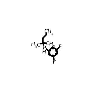 CCCC(C)(C)Pc1cc(F)cc(F)c1